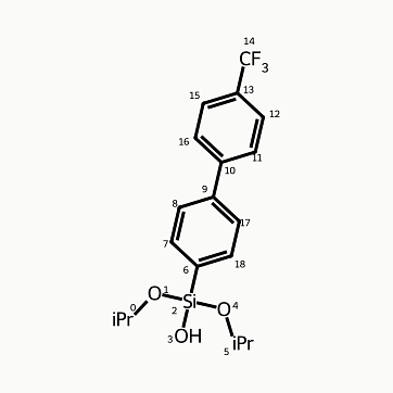 CC(C)O[Si](O)(OC(C)C)c1ccc(-c2ccc(C(F)(F)F)cc2)cc1